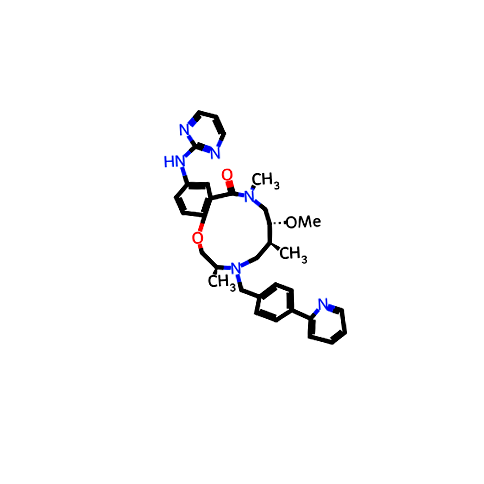 CO[C@H]1CN(C)C(=O)c2cc(Nc3ncccn3)ccc2OC[C@H](C)N(Cc2ccc(-c3ccccn3)cc2)C[C@@H]1C